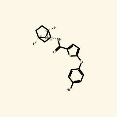 O=C(N[C@@H]1C[C@H]2CC[C@@H]1N2)c1ccc(Oc2ccc(O)cc2)s1